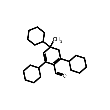 CC1(C2CCCCC2)C=C(C2CCCCC2)C(C=O)=C(C2CCCCC2)C1